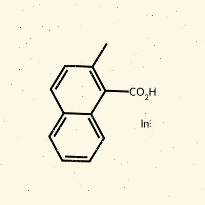 Cc1ccc2ccccc2c1C(=O)O.[In]